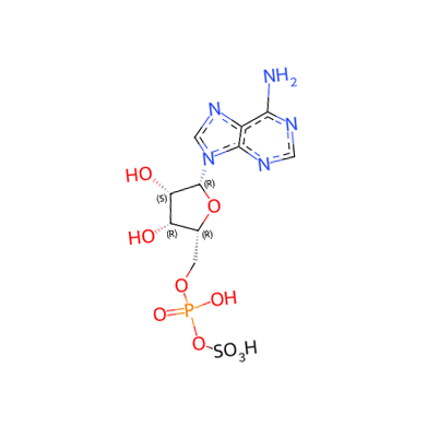 Nc1ncnc2c1ncn2[C@@H]1O[C@H](COP(=O)(O)OS(=O)(=O)O)[C@H](O)[C@@H]1O